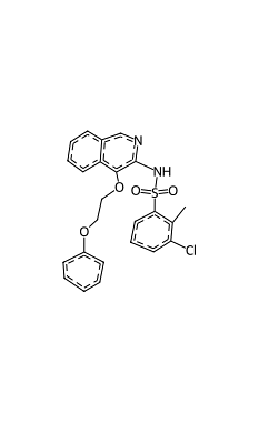 Cc1c(Cl)cccc1S(=O)(=O)Nc1ncc2ccccc2c1OCCOc1ccccc1